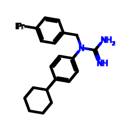 CC(C)c1ccc(CN(C(=N)N)c2ccc(C3CCCCC3)cc2)cc1